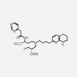 CO[C@H](CF)CN(CCCCc1ccc2c(n1)NCCC2)CC[C@H](NC(=O)Cc1ccncn1)C(=O)O